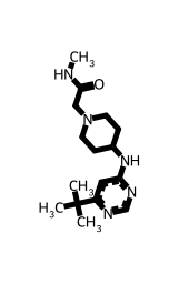 CNC(=O)CN1CCC(Nc2cc(C(C)(C)C)ncn2)CC1